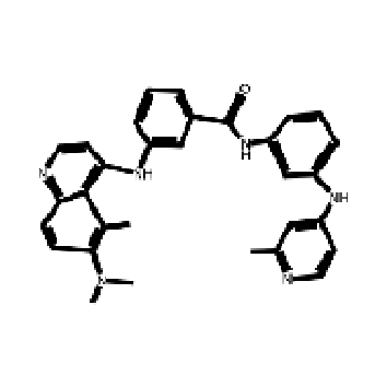 Cc1cc(Nc2cccc(NC(=O)c3cccc(Nc4ccnc5ccc(N(C)C)c(C)c45)c3)c2)ccn1